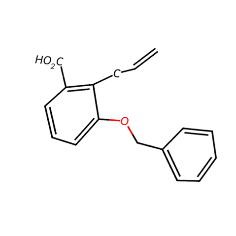 C=CCc1c(OCc2ccccc2)cccc1C(=O)O